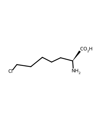 N[C@@H](CCCCCCl)C(=O)O